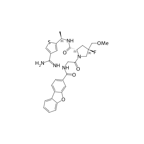 COC[C@@]1(F)C[C@@H](C(=O)N[C@H](C)c2cc(C(=N)N)cs2)N(C(=O)CNC(=O)c2ccc3c(c2)oc2ccccc23)C1